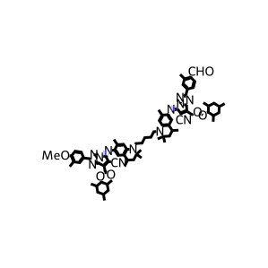 COc1ccc(-c2nc3n(n2)/C(=N/c2cc4c(cc2C)N(CCCCCN2c5cc(C)c(/N=C6\C(C#N)=C(COOC7C(C)CC(C)CC7C)c7nc(-c8ccc(C=O)c(C)c8)nn76)cc5C(C)CC2(C)C)C(C)(C)CC4C)C(C#N)=C3C(=O)OC2C(C)CC(C)CC2C)cc1C